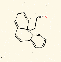 O=CCC12C=CCC=C1C=Cc1ccccc12